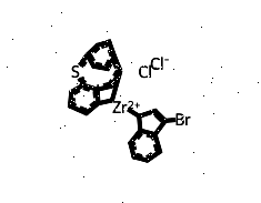 BrC1=C[CH]([Zr+2][CH]2c3cc4c2cccc4sc2ccc3cc2)c2ccccc21.[Cl-].[Cl-]